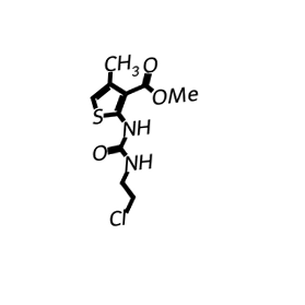 COC(=O)c1c(C)csc1NC(=O)NCCCl